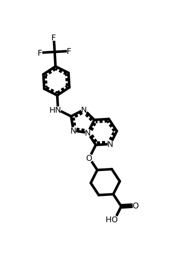 O=C(O)C1CCC(Oc2nccc3nc(Nc4ccc(C(F)(F)F)cc4)nn23)CC1